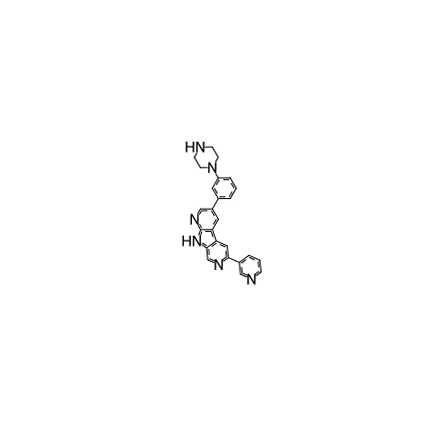 c1cncc(-c2cc3c(cn2)[nH]c2ncc(-c4cccc(N5CCNCC5)c4)cc23)c1